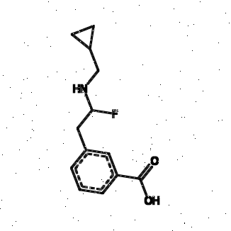 O=C(O)c1cccc(CC(F)NCC2CC2)c1